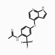 CC(=O)Nc1ccc(Oc2ccnc3[nH]ccc23)cc1C(F)(F)F